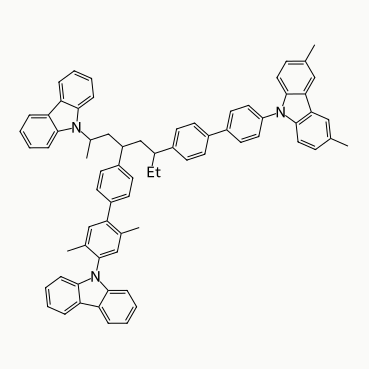 CCC(CC(CC(C)n1c2ccccc2c2ccccc21)c1ccc(-c2cc(C)c(-n3c4ccccc4c4ccccc43)cc2C)cc1)c1ccc(-c2ccc(-n3c4ccc(C)cc4c4cc(C)ccc43)cc2)cc1